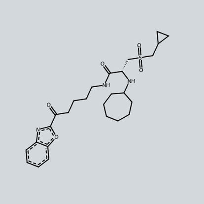 O=C(CCCCNC(=O)[C@H](CS(=O)(=O)CC1CC1)NC1CCCCCC1)c1nc2ccccc2o1